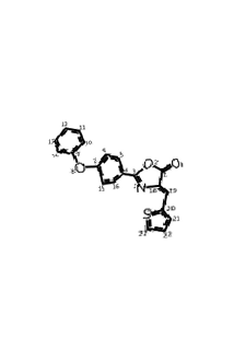 O=C1OC(c2ccc(Oc3ccccc3)cc2)=NC1=Cc1cccs1